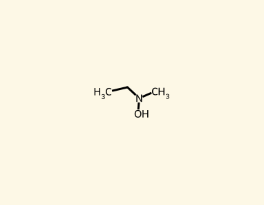 CCN(C)O